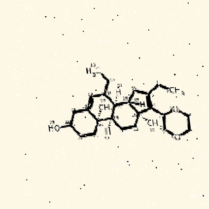 CCC1=C(C2COCCO2)[C@@]2(C)CC[C@@H]3[C@@H](C(CC)C=C4CC(O)CC[C@@]43C)[C@@H]2C1